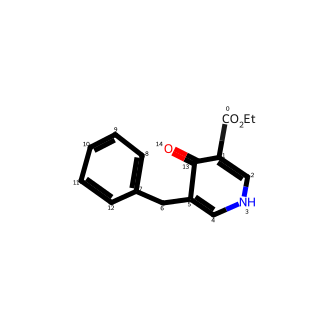 CCOC(=O)c1c[nH]cc(Cc2ccccc2)c1=O